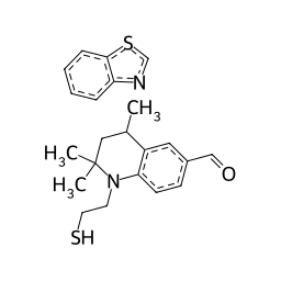 CC1CC(C)(C)N(CCS)c2ccc(C=O)cc21.c1ccc2scnc2c1